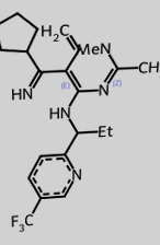 C=C/C(C(=N)C1CCCC1)=C(\N=C(\C)NC)NC(CC)c1ccc(C(F)(F)F)cn1